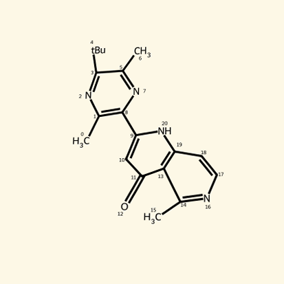 Cc1nc(C(C)(C)C)c(C)nc1-c1cc(=O)c2c(C)nccc2[nH]1